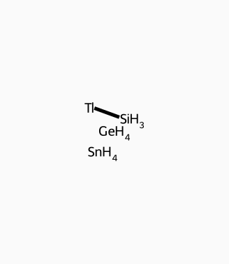 [GeH4].[SiH3][Tl].[SnH4]